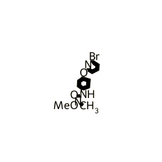 CON(C)C(=O)Nc1ccc(Oc2cccc(Br)n2)cc1